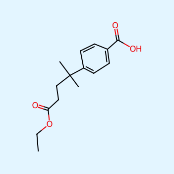 CCOC(=O)CCC(C)(C)c1ccc(C(=O)O)cc1